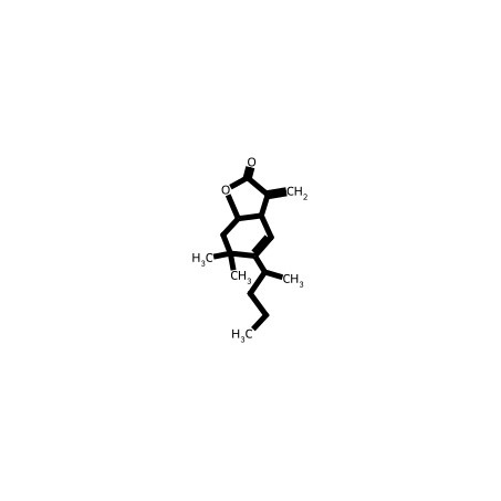 C=C1C(=O)OC2CC(C)(C)C(C(C)CCC)=CC12